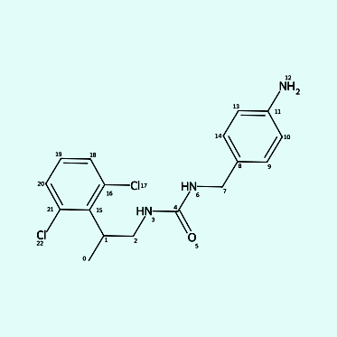 CC(CNC(=O)NCc1ccc(N)cc1)c1c(Cl)cccc1Cl